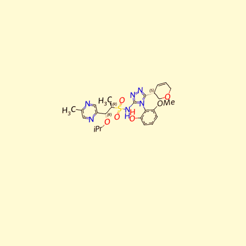 COc1cccc(O)c1-n1c(NS(=O)(=O)[C@H](C)[C@H](OC(C)C)c2cnc(C)cn2)nnc1[C@@H]1C=CCOC1